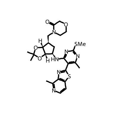 CSc1nc(C)c(-c2nc3c(C)nccc3s2)c(N[C@@H]2C[C@H](CN3CCOCC3=O)[C@H]3OC(C)(C)O[C@H]32)n1